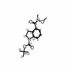 CON(C)C(=O)c1cccc2c1CCN2C(=O)OC(C)(C)C